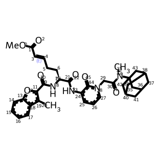 COC(=O)/C=C/CC[C@H](NC(=O)c1oc2ccccc2c1C)C(=O)Nc1cccn(CC(=O)N(C)C23CC4CC(CC(C4)C2)C3)c1=O